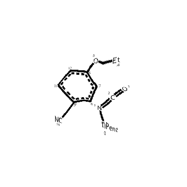 CCCCCN=C=O.CCOc1ccc(C#N)cc1